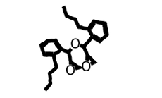 CCCCc1ccccc1C(OC(c1ccccc1CCCC)C1CO1)C1CO1